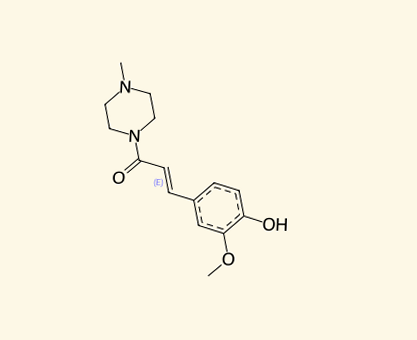 COc1cc(/C=C/C(=O)N2CCN(C)CC2)ccc1O